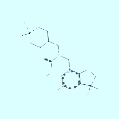 CC(C)(C)OC(=O)N(Cc1cc(C(=O)O)nc2c1OCC2(C)C)CC1CCC(F)(F)CC1